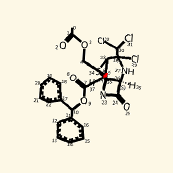 CC(=O)OCC1=C(C(=O)OC(c2ccccc2)c2ccccc2)N2C(=O)[C@@H]3NC(Cl)(C(Cl)Cl)C1S[C@@H]32